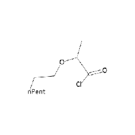 CCCCCCCOC(C)C(=O)Cl